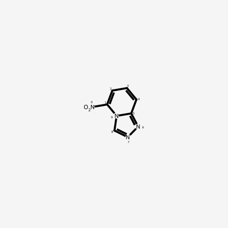 O=[N+]([O-])c1cccc2nncn12